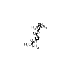 CC(N)C(=O)OC1CCN(C(=O)OCC[Si](C)(C)C)C1